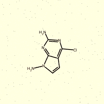 Nc1nc(Cl)c2ccn(N)c2n1